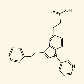 O=C(O)CCc1ccc2c(c1)c(CCc1ccccc1)cn2-c1cccnc1